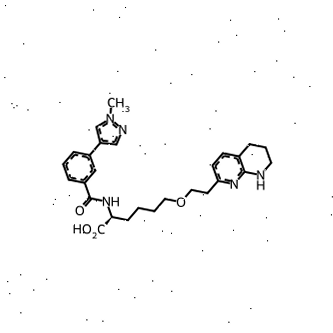 Cn1cc(-c2cccc(C(=O)N[C@@H](CCCCOCCc3ccc4c(n3)NCCC4)C(=O)O)c2)cn1